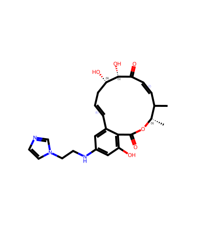 CC1/C=C\C(=O)[C@@H](O)[C@@H](O)C/C=C/c2cc(NCCn3ccnc3)cc(O)c2C(=O)O[C@H]1C